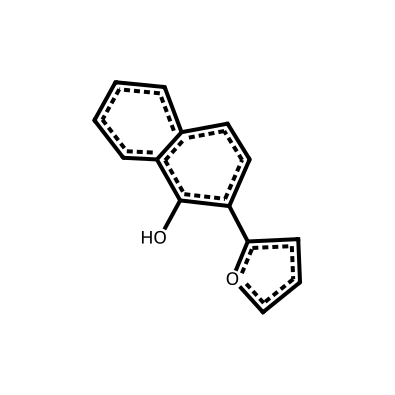 Oc1c(-c2ccco2)ccc2ccccc12